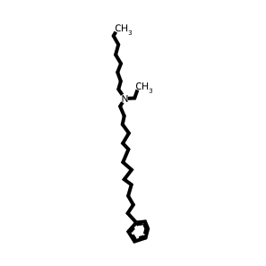 CCCCCCCCN(CC)CCCCCCCCCCCCCc1ccccc1